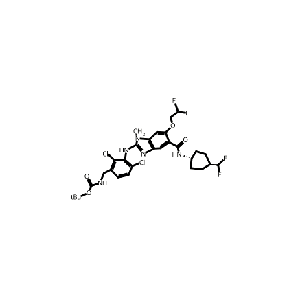 Cn1c(Nc2c(Cl)ccc(CNC(=O)OC(C)(C)C)c2Cl)nc2cc(C(=O)N[C@H]3CC[C@H](C(F)F)CC3)c(OCC(F)F)cc21